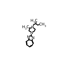 CCC(C)CN1CCN(c2nc3cccccc-3n2)CC1C